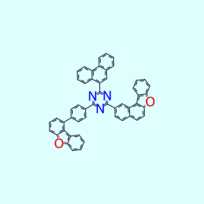 c1ccc2c(c1)cc(-c1nc(-c3ccc(-c4cccc5oc6ccccc6c45)cc3)nc(-c3ccc4ccc5oc6ccccc6c5c4c3)n1)c1ccccc12